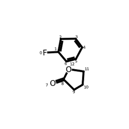 Fc1ccccc1.O=C1CCCO1